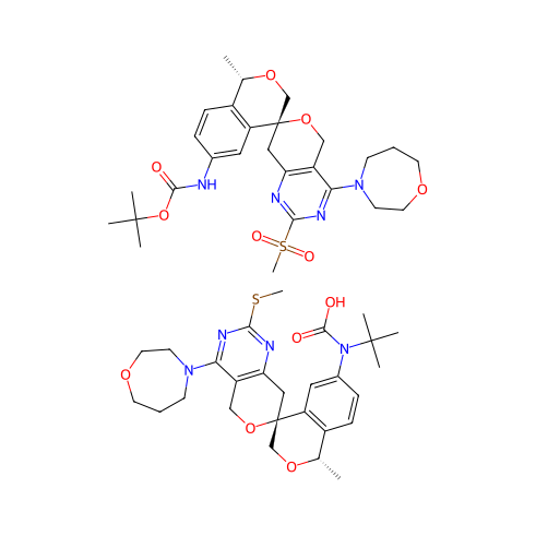 CSc1nc2c(c(N3CCCOCC3)n1)CO[C@]1(CO[C@@H](C)c3ccc(N(C(=O)O)C(C)(C)C)cc31)C2.C[C@@H]1OC[C@@]2(Cc3nc(S(C)(=O)=O)nc(N4CCCOCC4)c3CO2)c2cc(NC(=O)OC(C)(C)C)ccc21